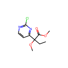 CCC(OC)(C(=O)OC)c1ccnc(Cl)n1